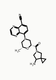 C[C@@H]1CN(c2ccc(C#N)c3nccnc23)C[C@H](C(=O)N2CC(N)C3(CC3)C2)O1